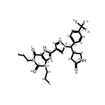 CCCn1c(=O)c2[nH]c(-c3cnn(C(c4ccc(C(F)(F)F)cc4)C4CNC(=O)C4)c3)nc2n(CCC)c1=O